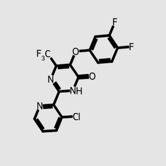 O=c1[nH]c(-c2ncccc2Cl)nc(C(F)(F)F)c1Oc1ccc(F)c(F)c1